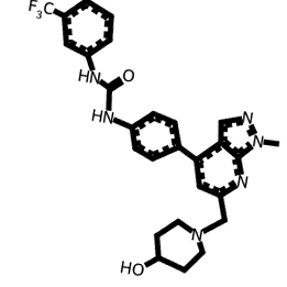 Cn1ncc2c(-c3ccc(NC(=O)Nc4cccc(C(F)(F)F)c4)cc3)cc(CN3CCC(O)CC3)nc21